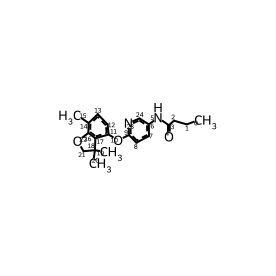 CCCC(=O)Nc1ccc(Oc2ccc(C)c3c2C(C)(C)CO3)nc1